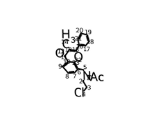 CC(=O)N(CCCl)Cc1cccc2c(=O)c(C)c(-c3ccccc3)oc12